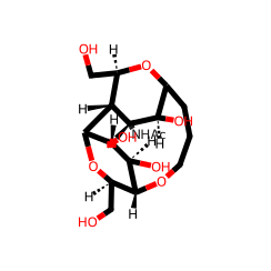 CC(=O)N[C@@H]1[C@@H]2C3O[C@H](CO)[C@@H](OCCCC(O[C@@H]2CO)[C@H]1O)[C@H](O)[C@H]3O